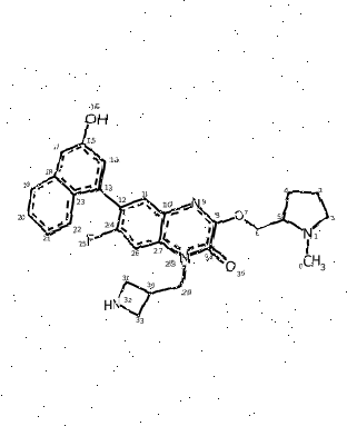 CN1CCCC1COc1nc2cc(-c3cc(O)cc4ccccc34)c(F)cc2n(CC2CNC2)c1=O